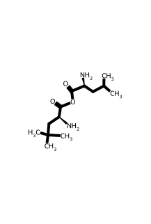 CC(C)C[C@H](N)C(=O)OC(=O)[C@@H](N)CC(C)(C)C